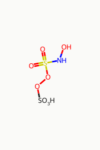 O=S(=O)(O)OOS(=O)(=O)NO